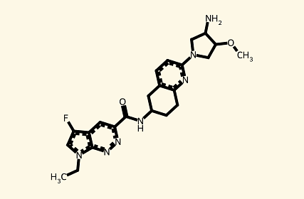 CCn1cc(F)c2cc(C(=O)NC3CCc4nc(N5CC(N)C(OC)C5)ccc4C3)nnc21